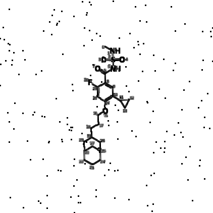 CNS(=O)(=O)NC(=O)c1cc(C2CC2)c(OCCCC2CC3CCCC(C2)C3)cc1F